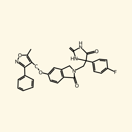 C=C1NC(=O)C(CN2Cc3cc(OCc4c(-c5ccccc5)noc4C)ccc3C2=O)(c2ccc(F)cc2)N1